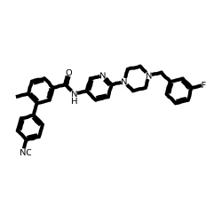 [C-]#[N+]c1ccc(-c2cc(C(=O)Nc3ccc(N4CCN(Cc5cccc(F)c5)CC4)nc3)ccc2C)cc1